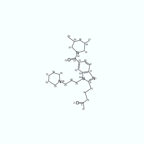 CC(=O)CCCc1nc2ccc(C(=O)N3CC(C)CC(C)C3)cc2n1CCCN1CCCCC1